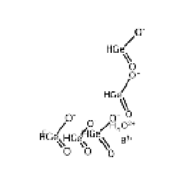 [B+3].[F].[OH4+2].[O]=[GeH][O-].[O]=[GeH][O-].[O]=[GeH][O-].[O]=[GeH][O-].[O]=[GeH][O-]